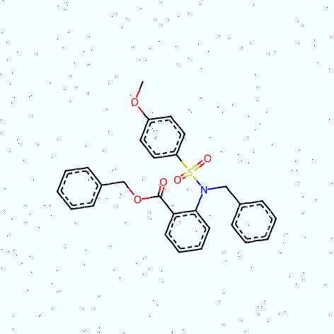 COc1ccc(S(=O)(=O)N(Cc2ccccc2)c2ccccc2C(=O)OCc2ccccc2)cc1